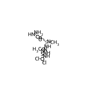 CCN1CC(C=Cc2cc3cc(C(=N)N)ccc3o2)C(CNc2cc(C)nc(NC(=S)Nc3cc(Cl)cc(Cl)c3)n2)C1